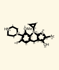 COc1c(N2CCNCC2)c(F)cc2c1N(C1CC1)c1sc(C(C)=O)c(O)c1C2